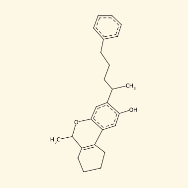 CC1Oc2cc(C(C)CCCc3ccccc3)c(O)cc2C2=C1CCCC2